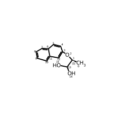 C[C@H](Oc1ccc2ccccc2c1)C(O)O